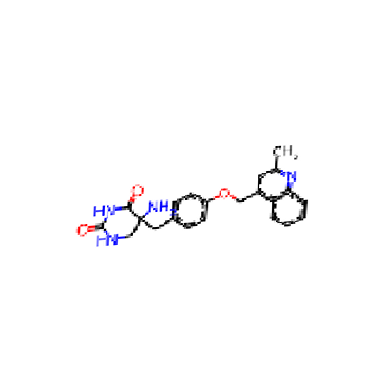 Cc1cc(COc2ccc(CC3(N)CNC(=O)NC3=O)cc2)c2ccccc2n1